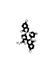 NC(=O)c1ncc(N2CCc3cc(Cl)ccc3C2=O)cc1C1Cc2cc(Cl)ccc2C(=O)N1c1cncc(Br)c1